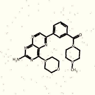 CN1CCN(C(=O)c2cccc(-c3cnc4nc(N)nc(N5CCOCC5)c4n3)c2)CC1